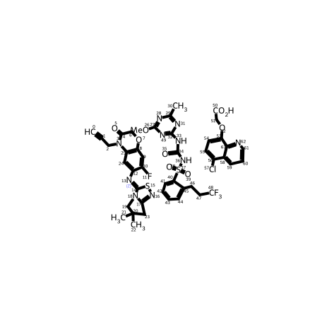 C#CCN1C(=O)COc2cc(F)c(/N=c3\snc4n3CC(C)(C)C4)cc21.COc1nc(C)nc(NC(=O)NS(=O)(=O)c2ccccc2CCC(F)(F)F)n1.O=C(O)COc1ccc(Cl)c2cccnc12